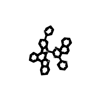 c1ccc(-c2ccc3c4c5ccccc5c5c6ccccc6oc5c4n(-c4nc(-c5ccccn5)c5ccc6ccccc6c5n4)c3c2)nc1